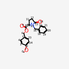 COc1ccc(COC(=O)[C@@H]2CCC(=O)N2Cc2ccccc2)cc1